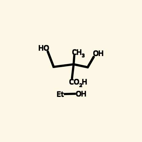 CC(CO)(CO)C(=O)O.CCO